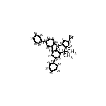 CC1(C)c2sc(Br)cc2-n2c3ccc(-c4ccccc4)cc3c3cc(-c4ccccc4)cc1c32